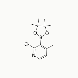 Cc1ccnc(Cl)c1B1OC(C)(C)C(C)(C)O1